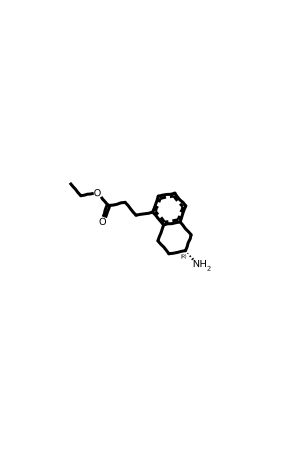 CCOC(=O)CCc1cccc2c1CC[C@@H](N)C2